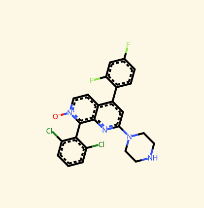 [O-][n+]1ccc2c(-c3ccc(F)cc3F)cc(N3CCNCC3)nc2c1-c1c(Cl)cccc1Cl